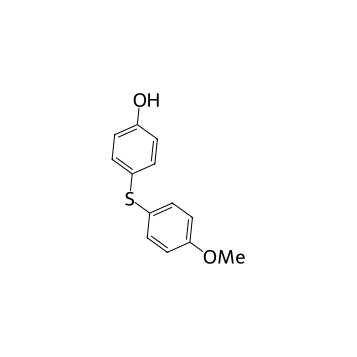 COc1ccc(Sc2ccc(O)cc2)cc1